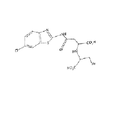 CC(C)CC(NC(CC(=O)Nc1nc2ccc(Cl)cc2s1)C(=O)O)C(=O)O